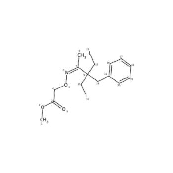 COC(=O)CO/N=C(/C)C(CI)(CI)Cc1ccccc1